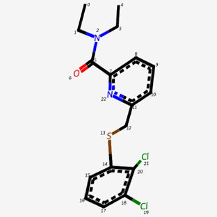 CCN(CC)C(=O)c1cccc(CSc2cccc(Cl)c2Cl)n1